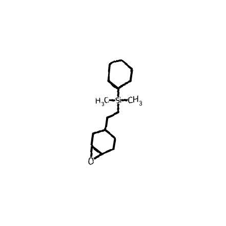 C[Si](C)(CCC1CCC2OC2C1)C1CCCCC1